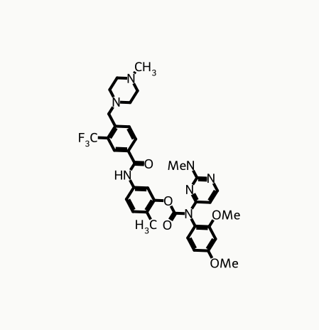 CNc1nccc(N(C(=O)Oc2cc(NC(=O)c3ccc(CN4CCN(C)CC4)c(C(F)(F)F)c3)ccc2C)c2ccc(OC)cc2OC)n1